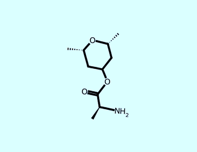 C[C@@H]1CC(OC(=O)[C@H](C)N)C[C@H](C)O1